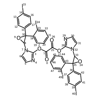 O=C(Oc1nccn1C1OC1(c1ccc(I)cc1)c1ccccc1I)C(=O)Oc1nccn1C1OC1(c1ccc(I)cc1)c1ccccc1I